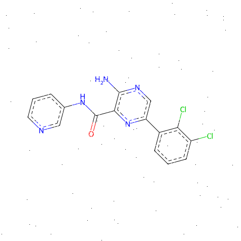 Nc1ncc(-c2cccc(Cl)c2Cl)nc1C(=O)Nc1cccnc1